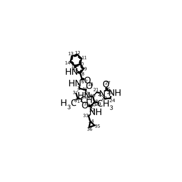 CC(C)C[C@H](NC(=O)c1cc2ccccc2[nH]1)C(=O)N[C@@H](CN1CCNC1=O)C(C)C(=O)NCC1CC1